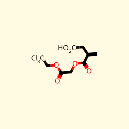 C=C(CC(=O)O)C(=O)OCC(=O)OCC(Cl)(Cl)Cl